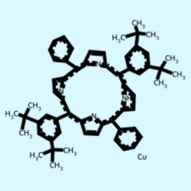 CC(C)(C)c1cc(-c2c3nc(c(-c4ccccc4)c4ccc([nH]4)c(-c4cc(C(C)(C)C)cc(C(C)(C)C)c4)c4nc(c(-c5ccccc5)c5ccc2[nH]5)C=C4)C=C3)cc(C(C)(C)C)c1.[Cu]